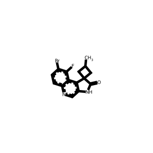 CC1CC2(C1)C(=O)Nc1cnc3ccc(Br)c(F)c3c12